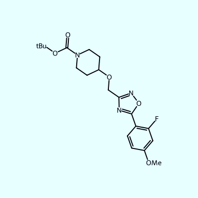 COc1ccc(-c2nc(COC3CCN(C(=O)OC(C)(C)C)CC3)no2)c(F)c1